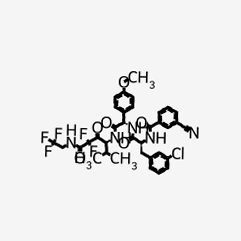 COc1ccc([C@H](NC(=O)[C@H](Cc2cccc(Cl)c2)NC(=O)c2cccc(C#N)c2)C(=O)N[C@H](C(=O)C(F)(F)C(=O)NCC(F)(F)F)C(C)C)cc1